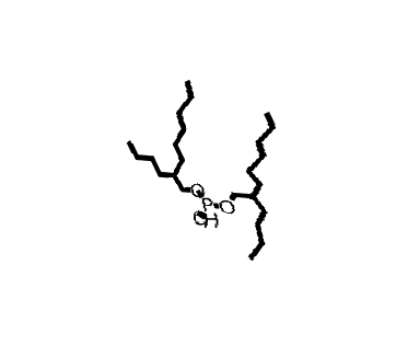 CCCCCCC(CCCC)CO[PH](=O)OCC(CCCC)CCCCCC